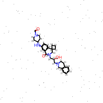 O=CN1CCC(Nc2ccc3c(c2)C(=O)N(CC(O)CN2CCc4ccccc4C2)CC32CCC2)CC1